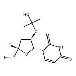 CC(C)(O)O[C@@H]1C[C@@](F)(CI)O[C@H]1n1ccc(=O)[nH]c1=O